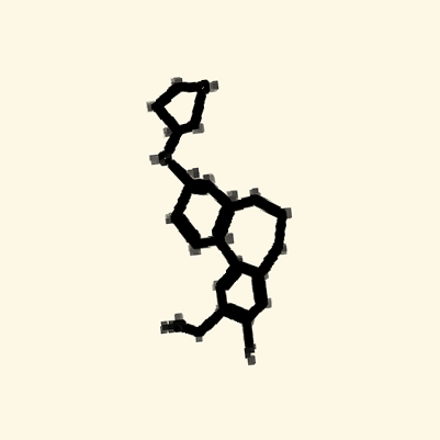 OCc1cc2c(cc1F)CCCc1cc(OC3CCOC3)ccc1-2